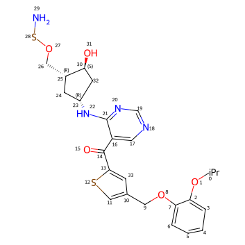 CC(C)Oc1ccccc1OCc1csc(C(=O)c2cncnc2N[C@@H]2C[C@H](COSN)[C@@H](O)C2)c1